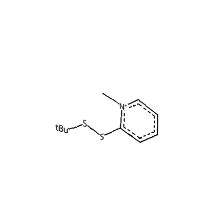 C[n+]1ccccc1SSC(C)(C)C